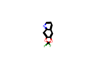 FC1(F)Oc2cc3cccnc3cc2O1